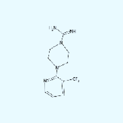 N=C(N)N1CCN(c2ncccc2C(F)(F)F)CC1